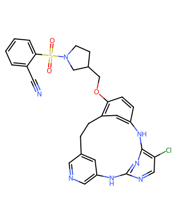 N#Cc1ccccc1S(=O)(=O)N1CCC(COc2ccc3cc2CCc2cncc(c2)Nc2ncc(Cl)c(n2)N3)C1